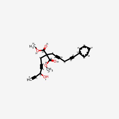 C#CC(O)C#CCC(CC#CCC#Cc1ccccc1)(C(=O)OC)C(=O)OC